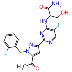 CC(=O)c1cc(-c2ncc(F)c(NC(CO)C(N)=O)n2)nn1Cc1ccccc1F